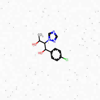 OC(c1ccc(Cl)cc1)C(C(O)C(Cl)(Cl)Cl)n1cncn1